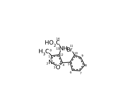 Cc1noc(-c2ccccc2Br)c1NC(=O)O